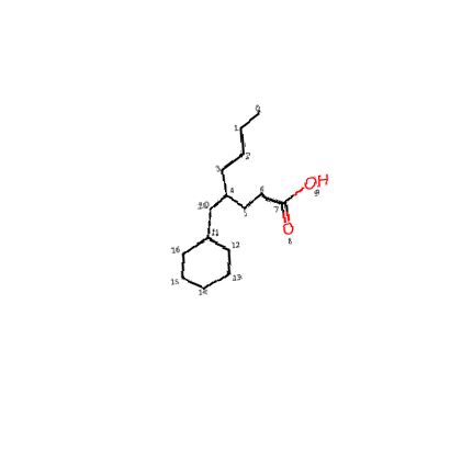 CCCCC(CCC(=O)O)CC1CCCCC1